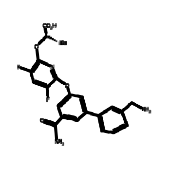 CC[C@@H](C)[C@@H](Oc1nc(Oc2cc(C(N)=O)cc(-c3cccc(CN)c3)c2)c(F)cc1F)C(=O)O